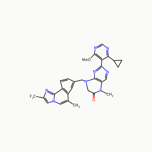 COc1ncnc(C2CC2)c1-c1ncc2c(n1)N(Cc1ccc3c(c1)c(C)cn1cc(C(F)(F)F)nc31)CC(=O)N2C